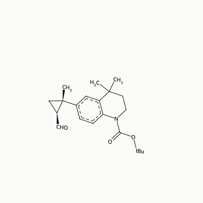 CC(C)(C)OC(=O)N1CCC(C)(C)c2cc([C@@]3(C)C[C@@H]3C=O)ccc21